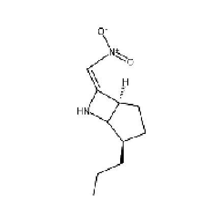 CCC[C@@H]1CC[C@@H]2/C(=C\[N+](=O)[O-])NC12